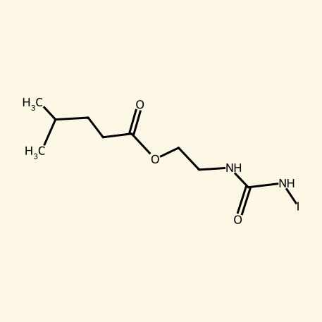 CC(C)CCC(=O)OCCNC(=O)NI